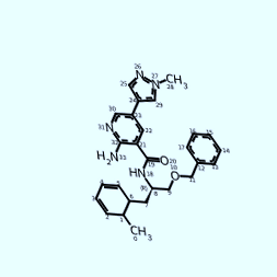 CC1C=CC=CC1C[C@H](COCc1ccccc1)NC(=O)c1cc(-c2cnn(C)c2)cnc1N